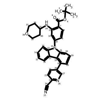 CC(C)(C)OC(=O)c1ccc(-n2c3ccccc3c3c(-c4ccc(C#N)nc4)cccc32)cc1NC1CCOCC1